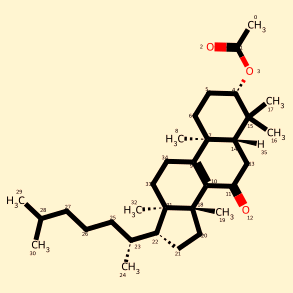 CC(=O)O[C@H]1CC[C@]2(C)C3=C(C(=O)C[C@H]2C1(C)C)[C@]1(C)CC[C@H]([C@H](C)CCCC(C)C)[C@@]1(C)CC3